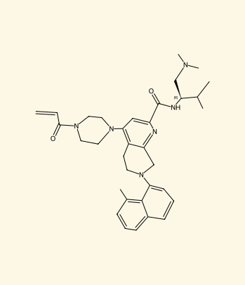 C=CC(=O)N1CCN(c2cc(C(=O)N[C@@H](CN(C)C)C(C)C)nc3c2CCN(c2cccc4cccc(C)c24)C3)CC1